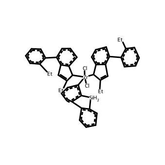 CCC1=Cc2c(-c3ccccc3CC)cccc2[CH]1[Zr]([Cl])([Cl])([c]1cccc2c1[SiH2]c1ccccc1-2)[CH]1C(CC)=Cc2c(-c3ccccc3CC)cccc21